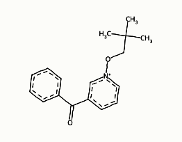 CC(C)(C)CO[n+]1cccc(C(=O)c2ccccc2)c1